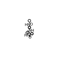 O=C(Nc1ccc(Nc2ccnc3[nH]c(=O)c4ccccc4c23)cc1)C1CCCCC1